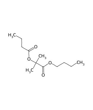 CCCCOC(=O)C(C)(C)OC(=O)CCC